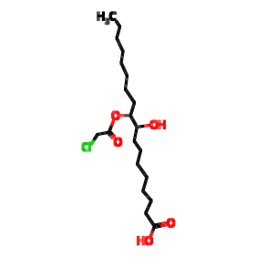 CCCCCCCCC(OC(=O)CCl)C(O)CCCCCCCC(=O)O